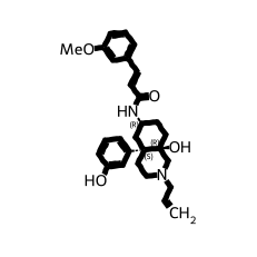 C=CCN1CC[C@@]2(c3cccc(O)c3)C[C@H](NC(=O)C=Cc3cccc(OC)c3)CC[C@]2(O)C1